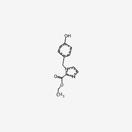 CCOC(=O)c1nccn1Cc1ccc(O)cc1